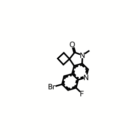 CN1C(=O)C2(CCC2)c2c1cnc1c(F)cc(Br)cc21